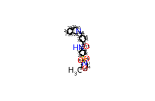 CC1CN(S(=O)(=O)c2ccc(NC(=O)c3ccc(CN4CCc5ccccc5C4)cc3)cc2)CCO1